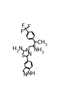 C[C@@H](c1ccc(C(F)(F)F)cc1)[C@@H](N)CN1N=C(c2ccc3[nH]ncc3c2)SC1N